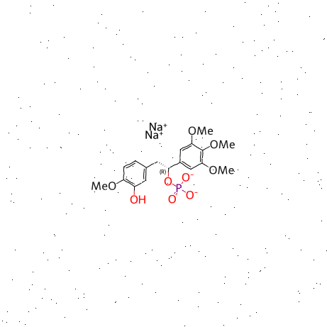 COc1ccc(C[C@@H](OP(=O)([O-])[O-])c2cc(OC)c(OC)c(OC)c2)cc1O.[Na+].[Na+]